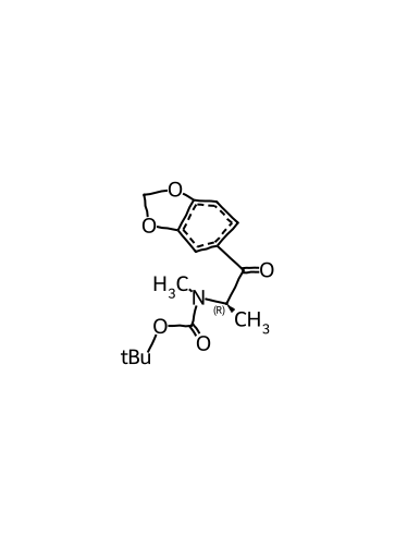 C[C@H](C(=O)c1ccc2c(c1)OCO2)N(C)C(=O)OC(C)(C)C